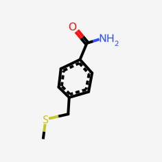 CSCc1ccc(C(N)=O)cc1